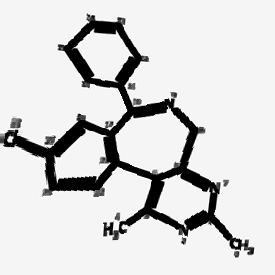 Cc1nc(C)c2c(n1)CN=C(c1ccccc1)c1cc(Cl)ccc1-2